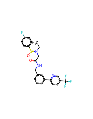 CCN(CC(=O)NCc1cccc(-c2ccc(C(F)(F)F)cn2)c1)[S+]([O-])c1ccc(F)cc1